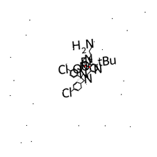 CCOc1cc(C(C)(C)C)ncc1C1=N[C@@](C)(C2C=CC(Cl)=CC2)[C@@](C)(c2ccc(Cl)cc2)N1C(=O)N1CCN(CCCN)CC1